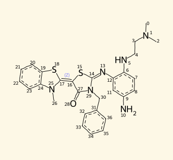 CN(C)CCNc1ccc(N)cc1N=C1S/C(=C2\Sc3ccccc3N2C)C(=O)N1Cc1ccccc1